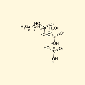 O.O=[Si](O)O.O=[Si](O)O.O=[Si](O)O.[GaH3].[GaH3]